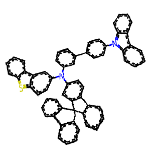 c1cc(-c2ccc(-n3c4ccccc4c4ccccc43)cc2)cc(N(c2ccc3c(c2)C2(c4ccccc4-c4ccccc42)c2ccccc2-3)c2ccc3sc4ccccc4c3c2)c1